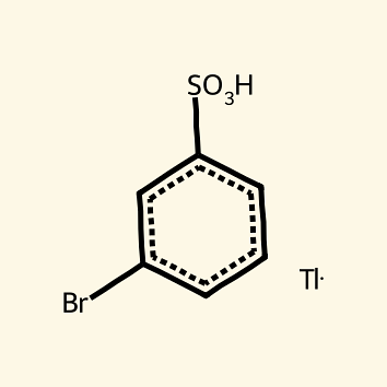 O=S(=O)(O)c1cccc(Br)c1.[Tl]